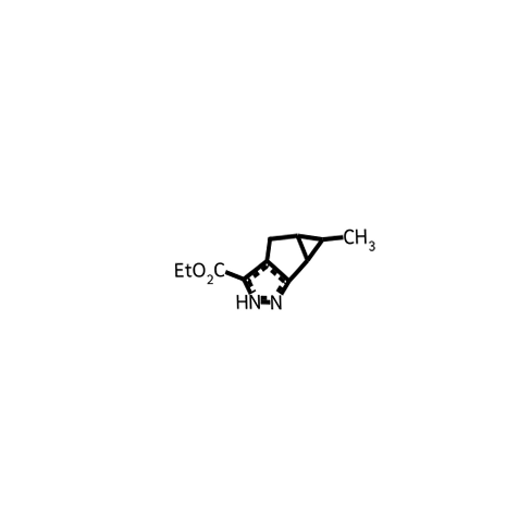 CCOC(=O)c1[nH]nc2c1CC1C(C)C21